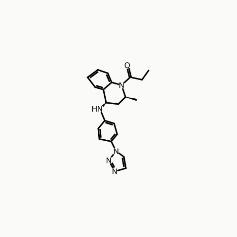 CCC(=O)N1c2ccccc2[C@H](Nc2ccc(-n3ccnn3)cc2)C[C@@H]1C